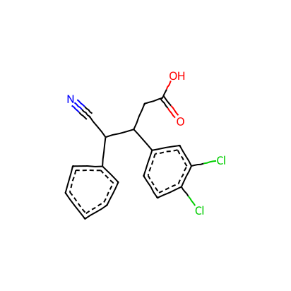 N#CC(c1ccccc1)C(CC(=O)O)c1ccc(Cl)c(Cl)c1